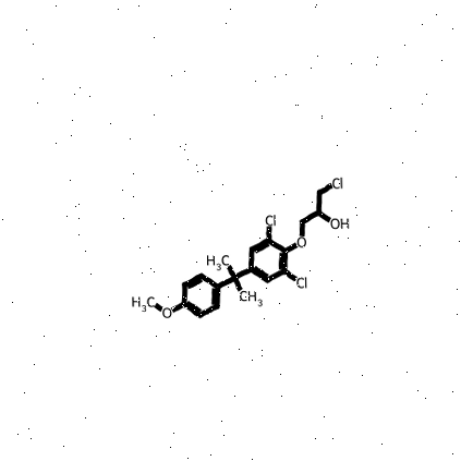 COc1ccc(C(C)(C)c2cc(Cl)c(OCC(O)CCl)c(Cl)c2)cc1